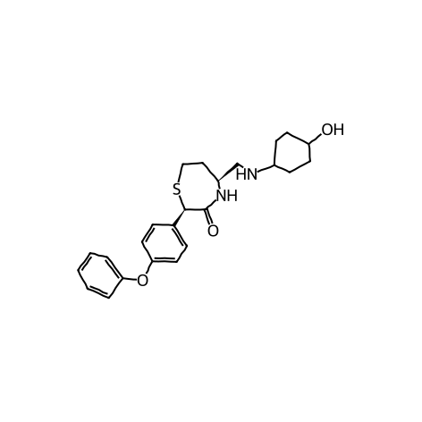 O=C1N[C@H](CNC2CCC(O)CC2)CCS[C@@H]1c1ccc(Oc2ccccc2)cc1